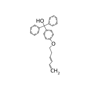 C=CC=CCCOc1ccc(C(O)(c2ccccc2)c2ccccc2)cc1